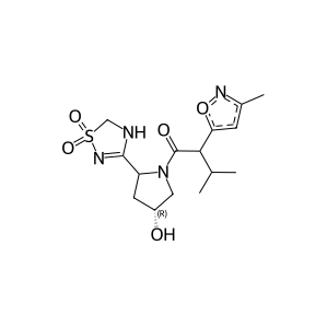 Cc1cc(C(C(=O)N2C[C@H](O)CC2C2=NS(=O)(=O)CN2)C(C)C)on1